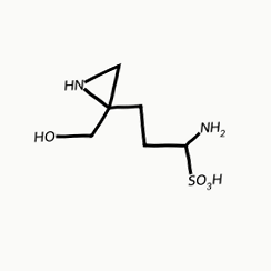 NC(CCC1(CO)CN1)S(=O)(=O)O